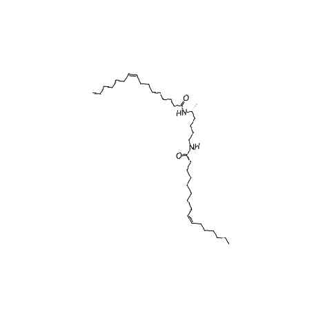 CCCCCC/C=C\CCCCCCCC(=O)NCCCC[C@@H](C)NC(=O)CCCCCCC/C=C\CCCCCC